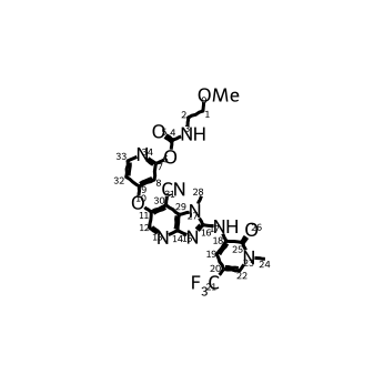 COCCNC(=O)Oc1cc(Oc2cnc3nc(Nc4cc(C(F)(F)F)cn(C)c4=O)n(C)c3c2C#N)ccn1